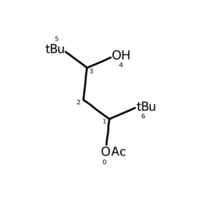 CC(=O)OC(CC(O)C(C)(C)C)C(C)(C)C